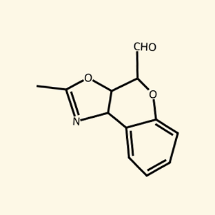 CC1=NC2c3ccccc3OC(C=O)C2O1